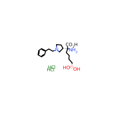 Cl.Cl.NC(CCCCB(O)O)(C(=O)O)[C@H]1CCN(CCc2ccccc2)C1